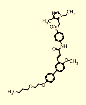 CCCCOCCOc1ccc(-c2ccc(OC)c(/C=C/C(=O)Nc3ccc([S@+]([O-])Cc4c(C)ncn4CC)cc3)c2)cc1